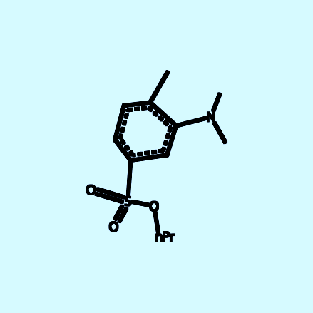 CCCOS(=O)(=O)c1ccc(C)c(N(C)C)c1